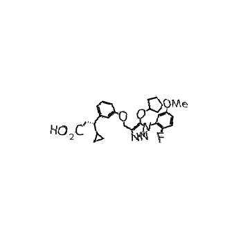 COc1ccc(F)c(-n2nnc(COc3cccc([C@@H](CC(=O)O)C4CC4)c3)c2OC2CCCC2)c1